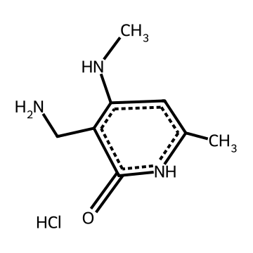 CNc1cc(C)[nH]c(=O)c1CN.Cl